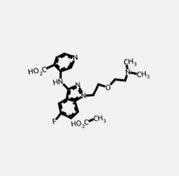 CC(=O)O.CN(C)CCOCCn1nc(Nc2cnccc2C(=O)O)c2cc(F)ccc21